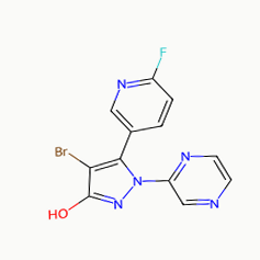 Oc1nn(-c2cnccn2)c(-c2ccc(F)nc2)c1Br